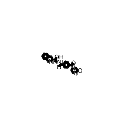 CN1CCN(C(=O)c2ccc(C(=O)NCC(O)[C@@H]3Cc4ccccc4CN3)cc2)CC1=O